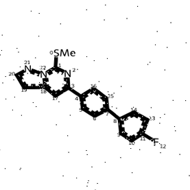 CSc1nc(-c2ccc(-c3ccc(F)cc3)cc2)cc2ccnn12